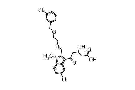 CC(CC(=O)O)CC(=O)c1c(COCCOCc2cccc(Cl)c2)n(C)c2ccc(Cl)cc12